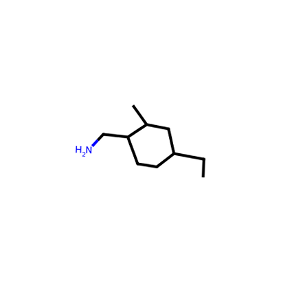 CCC1CCC(CN)C(C)C1